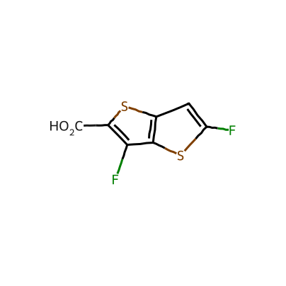 O=C(O)c1sc2cc(F)sc2c1F